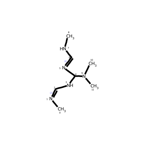 C/N=C\NC(/N=C/NC)N(C)C